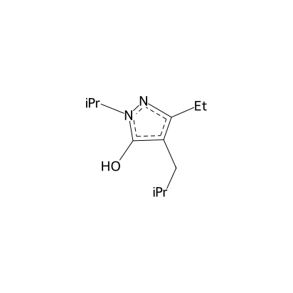 CCc1nn(C(C)C)c(O)c1CC(C)C